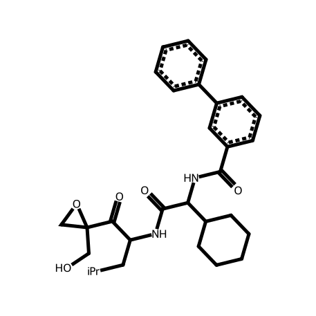 CC(C)CC(NC(=O)C(NC(=O)c1cccc(-c2ccccc2)c1)C1CCCCC1)C(=O)C1(CO)CO1